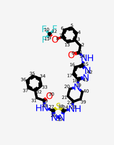 O=C(Cc1cccc(OC(F)(F)F)c1)Nc1ccc(N2CCC(Nc3nnc(NC(=O)Cc4ccccc4)s3)CC2)nn1